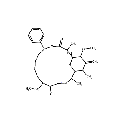 C=C1C(C)C2OC(O)(C(C)C(=O)OC(c3ccccc3)CCCCC(OC)C(O)/C=C/C2C)C1OC